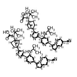 CC(C)Nc1cc(-c2ccc3cc(C#N)cnn23)ncc1-c1nnc(C23CCC(N(C(=O)O)C(C)(C)C)(CC2)CC3)s1.CC(C)Nc1cc(-c2ccc3cc(C#N)cnn23)ncc1-c1nnc(C23CCC(N(C(=O)O)C(C)(C)C)(CC2)CC3)s1